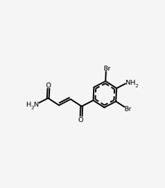 NC(=O)C=CC(=O)c1cc(Br)c(N)c(Br)c1